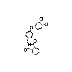 O=C1c2ccccc2C(=O)N1Cc1ccc(Oc2ccc(Cl)c(Cl)c2)cc1